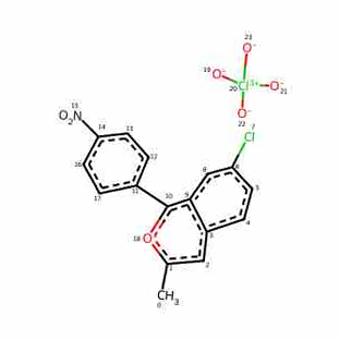 Cc1cc2ccc(Cl)cc2c(-c2ccc([N+](=O)[O-])cc2)[o+]1.[O-][Cl+3]([O-])([O-])[O-]